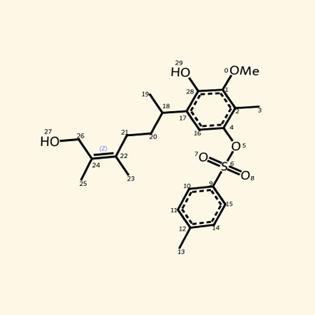 COc1c(C)c(OS(=O)(=O)c2ccc(C)cc2)cc(C(C)CC/C(C)=C(/C)CO)c1O